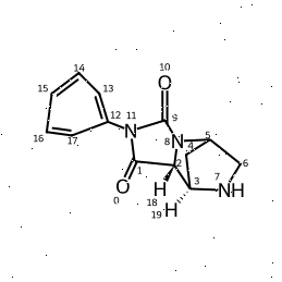 O=C1[C@H]2[C@H]3CC(CN3)N2C(=O)N1c1ccccc1